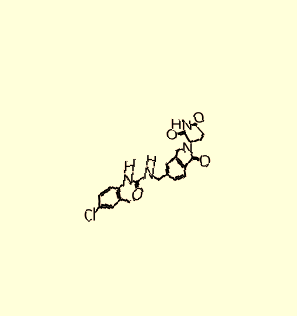 Cc1cc(Cl)ccc1NC(=O)NCc1ccc2c(c1)CN(C1CCC(=O)NC1=O)C2=O